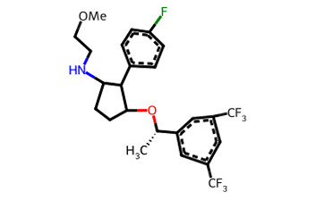 COCCNC1CCC(O[C@@H](C)c2cc(C(F)(F)F)cc(C(F)(F)F)c2)C1c1ccc(F)cc1